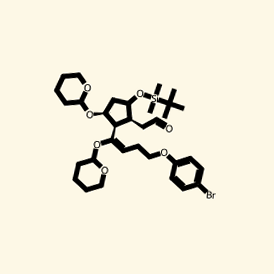 CC(C)(C)[Si](C)(C)OC1C[C@H](OC2CCCCO2)[C@H](/C(=C\CCOc2ccc(Br)cc2)OC2CCCCO2)[C@@H]1CC=O